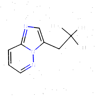 CC(C)(C)Cc1cnc2cccnn12